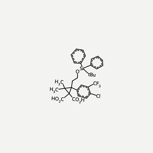 CC1(C)C(C(=O)O)(C(=O)O)C1(CCO[Si](c1ccccc1)(c1ccccc1)C(C)(C)C)c1ccc(Cl)c(C(F)(F)F)c1